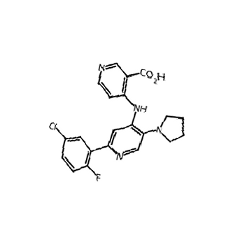 O=C(O)c1cnccc1Nc1cc(-c2cc(Cl)ccc2F)ncc1N1CCCC1